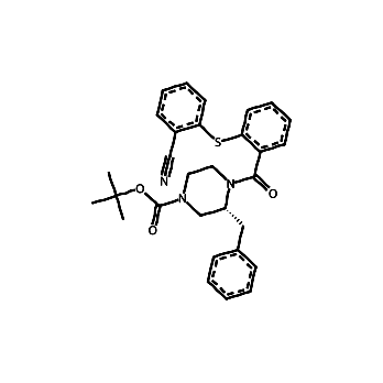 CC(C)(C)OC(=O)N1CCN(C(=O)c2ccccc2Sc2ccccc2C#N)[C@H](Cc2ccccc2)C1